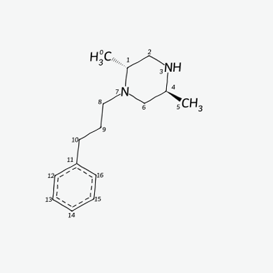 C[C@@H]1CN[C@@H](C)CN1CCCc1ccccc1